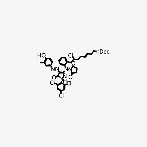 CCCCCCCCCCCCC=CCCC(Cl)Cc1ccccc1N(c1[nH]n(-c2c(Cl)cc(Cl)cc2Cl)c(=O)c1N=Nc1ccc(O)c(C)c1)N1C(=O)CCC1=O